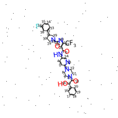 O=C(Nc1ccc(N2CCN(C(=O)C(O)c3ccccc3)CC2)nc1)c1oc(N2CCC(c3cccc(F)c3)C2)nc1C(F)(F)F